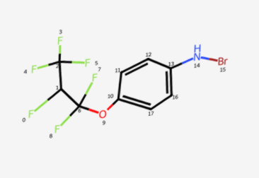 FC(C(F)(F)F)C(F)(F)Oc1ccc(NBr)cc1